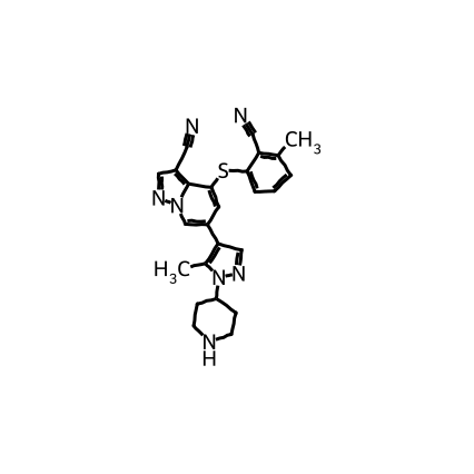 Cc1cccc(Sc2cc(-c3cnn(C4CCNCC4)c3C)cn3ncc(C#N)c23)c1C#N